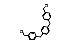 ClCc1ccc(Cc2ccc(Cc3ccc(CCl)cc3)cc2)cc1